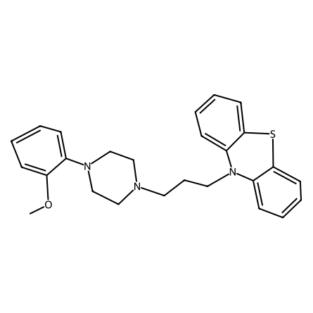 COc1ccccc1N1CCN(CCCN2c3ccccc3Sc3ccccc32)CC1